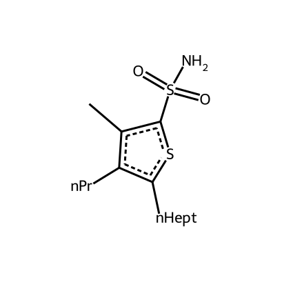 CCCCCCCc1sc(S(N)(=O)=O)c(C)c1CCC